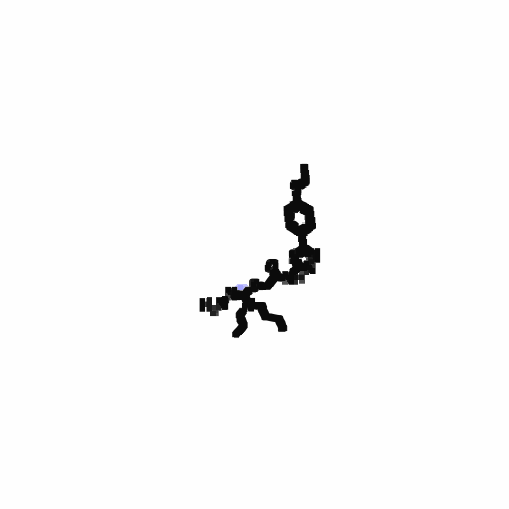 CCCCN(CCC)/C(=N\N)SCC(=O)Nc1nnc(-c2ccc(SCC)cc2)s1